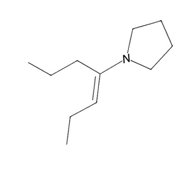 CCC=C(CCC)N1CCCC1